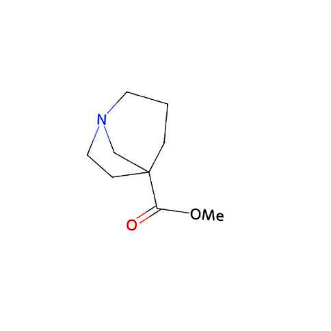 COC(=O)C12CCCN(CC1)C2